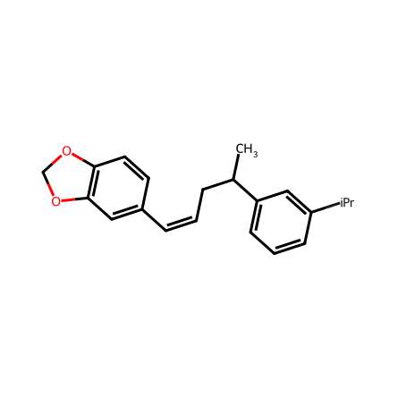 CC(C)c1cccc(C(C)C/C=C\c2ccc3c(c2)OCO3)c1